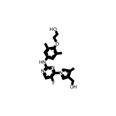 Cc1cn(-c2nc(Nc3cc(C)c(OCCO)c(C)c3)ncc2F)cc1CO